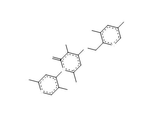 CCc1cnc(Cl)cc1-n1c(C)cc(OCc2ncc(F)cc2F)c(Cl)c1=O